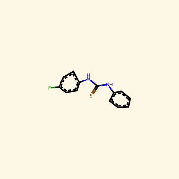 Fc1ccc(NC(=S)Nc2ccccc2)cc1